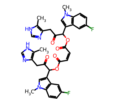 Cc1[nH]cnc1CC(=O)C(OC(=O)/C=C\C(=O)OC(C(=O)Cc1nc[nH]c1C)c1cn(C)c2ccc(F)cc12)c1cn(C)c2ccc(F)cc12